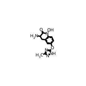 Cc1n[nH]c(Oc2ccc3c(c2)CC(N)C(=O)N3O)n1